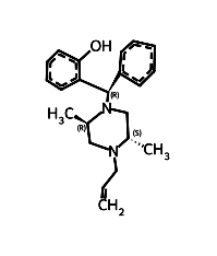 C=CCN1C[C@@H](C)N([C@H](c2ccccc2)c2ccccc2O)C[C@@H]1C